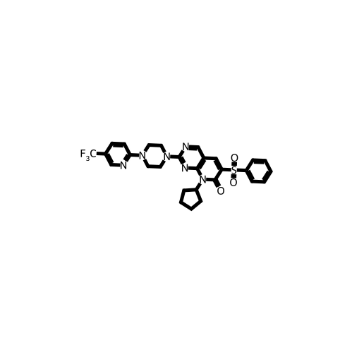 O=c1c(S(=O)(=O)c2ccccc2)cc2cnc(N3CCN(c4ccc(C(F)(F)F)cn4)CC3)nc2n1C1CCCC1